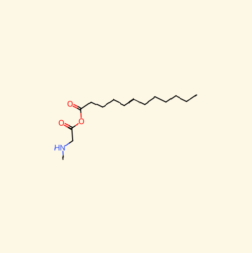 CCCCCCCCCCCC(=O)OC(=O)CNC